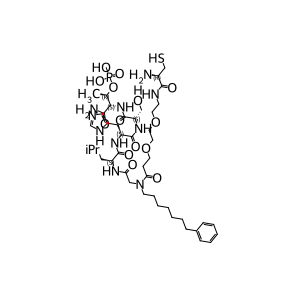 CC(C)C[C@H](NC(=O)CN(CCCCCCCc1ccccc1)C(=O)CCOCCOCCNC(=O)[C@@H](N)CS)C(=O)N[C@@H](Cc1cnc[nH]1)C(=O)N[C@@H](CO)C(=O)N[C@H](C(N)=O)[C@@H](C)OP(=O)(O)O